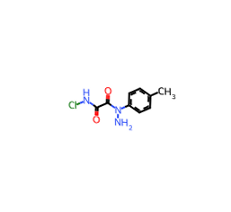 Cc1ccc(N(N)C(=O)C(=O)NCl)cc1